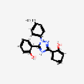 O=C(O)c1ccc(-n2nc(-c3cc#ccc3O)nc2-c2ccccc2O)cc1